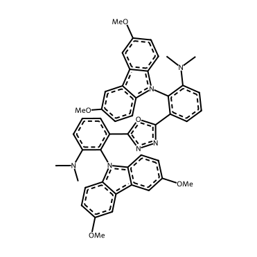 COc1ccc2c(c1)c1cc(OC)ccc1n2-c1c(-c2nnc(-c3cccc(N(C)C)c3-n3c4ccc(OC)cc4c4cc(OC)ccc43)o2)cccc1N(C)C